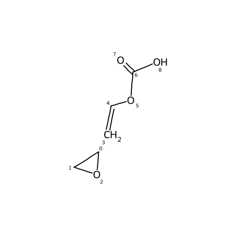 C1CO1.C=COC(=O)O